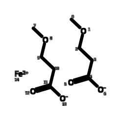 COCCC(=O)[O-].COCCC(=O)[O-].[Fe+2]